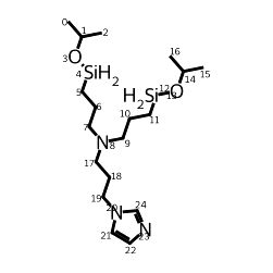 CC(C)O[SiH2]CCCN(CCC[SiH2]OC(C)C)CCCn1ccnc1